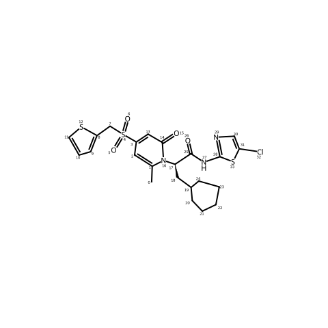 Cc1cc(S(=O)(=O)Cc2cccs2)cc(=O)n1[C@H](CC1CCCCC1)C(=O)Nc1ncc(Cl)s1